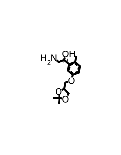 Cc1ccc(OCC2COC(C)(C)O2)cc1[C@H](O)CN